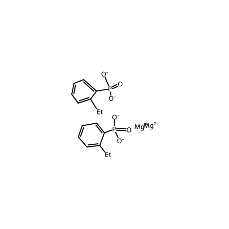 CCc1ccccc1P(=O)([O-])[O-].CCc1ccccc1P(=O)([O-])[O-].[Mg+2].[Mg+2]